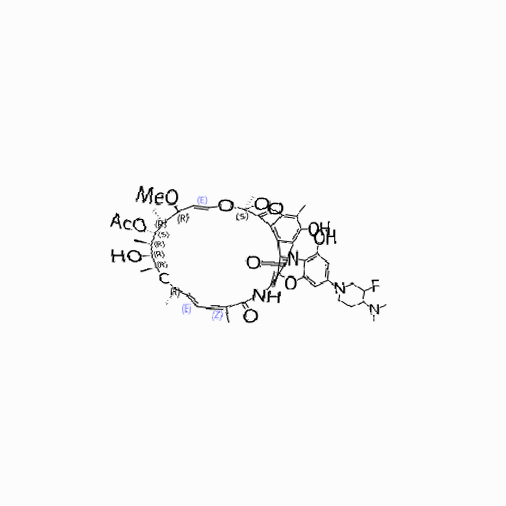 CO[C@H]1/C=C/O[C@@]2(C)Oc3c(C)c(O)c4c(=O)c(c5oc6cc(N7CCC(N(C)C)C(F)C7)cc(O)c6nc-5c4c3C2=O)NC(=O)/C(C)=C\C=C\[C@H](C)C[C@@H](C)[C@@H](O)[C@@H](C)[C@H](OC(C)=O)[C@@H]1C